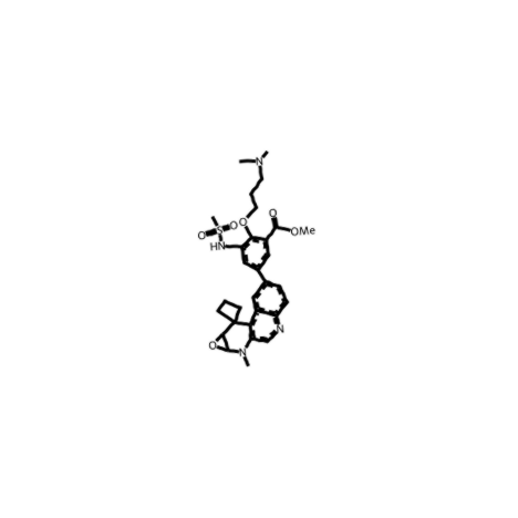 COC(=O)c1cc(-c2ccc3ncc4c(c3c2)C2(CCC2)C2OC2N4C)cc(NS(C)(=O)=O)c1OCCCN(C)C